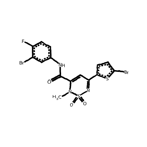 CN1C(C(=O)Nc2ccc(F)c(Br)c2)=CC(c2ccc(Br)s2)=NS1(=O)=O